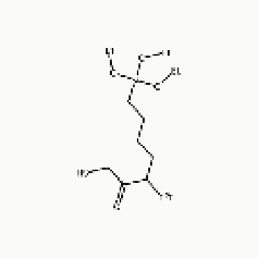 CCCC(CCCC[Si](OCC)(OCC)OCC)C(=O)CS